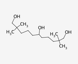 CC(C)(CO)CCCC(O)CCCC(C)(C)CO